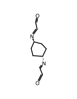 O=CC=N[C@H]1CC[C@H](N=CC=O)CC1